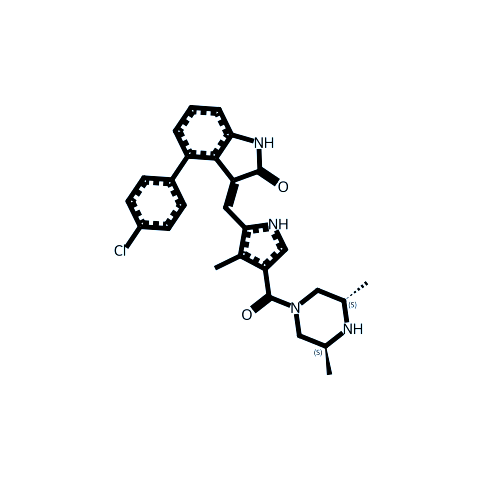 Cc1c(C(=O)N2C[C@H](C)N[C@@H](C)C2)c[nH]c1C=C1C(=O)Nc2cccc(-c3ccc(Cl)cc3)c21